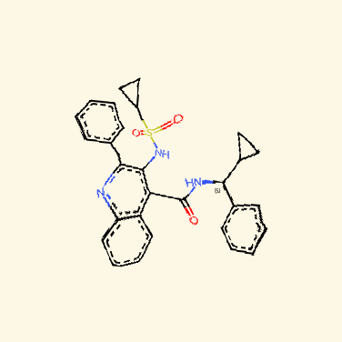 O=C(N[C@H](c1ccccc1)C1CC1)c1c(NS(=O)(=O)C2CC2)c(-c2ccccc2)nc2ccccc12